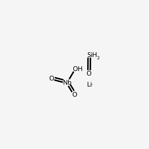 O=[SiH2].[Li].[O]=[Nb](=[O])[OH]